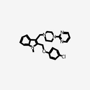 Cn1c(COc2ccc(Cl)cc2)c(CN2CCN(c3ncccn3)CC2)c2ccccc21